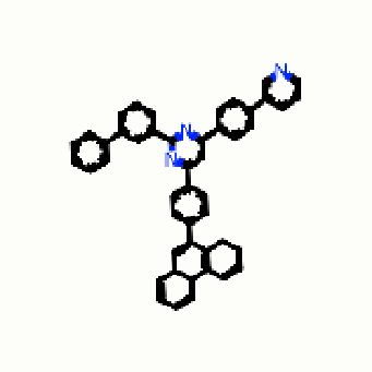 C1=CC2C=C(c3ccc(-c4cc(-c5ccc(-c6cccnc6)cc5)nc(-c5cccc(-c6ccccc6)c5)n4)cc3)C3=C(C=CCC3)C2C=C1